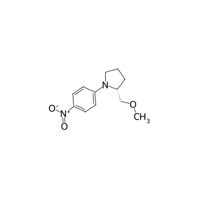 COC[C@H]1CCCN1c1ccc([N+](=O)[O-])cc1